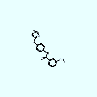 Cc1cccc(C(=O)Nc2ccc(Cn3cncn3)cc2)c1